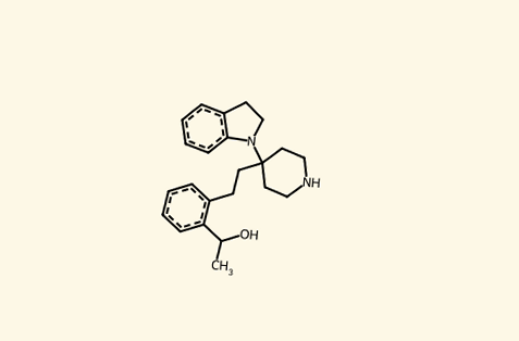 CC(O)c1ccccc1CCC1(N2CCc3ccccc32)CCNCC1